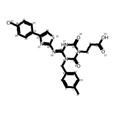 Cc1ccc(Cn2c(=O)n(CCC(=O)O)c(=O)[nH]/c2=N\c2nc(-c3ccc(Cl)cc3)cs2)cc1